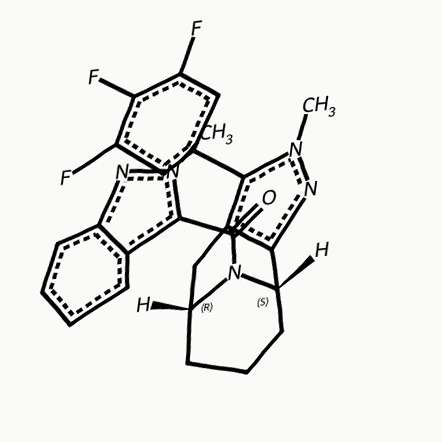 Cn1nc2c(c1-c1cc(F)c(F)c(F)c1)C[C@H]1CCC[C@@H]2N1C(=O)c1c2ccccc2nn1C